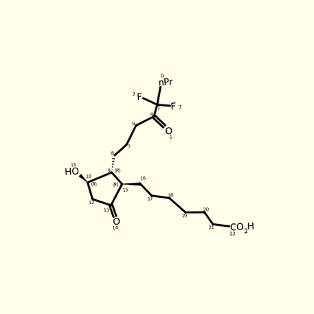 CCCC(F)(F)C(=O)CCC[C@H]1[C@H](O)CC(=O)[C@@H]1CCCCCCC(=O)O